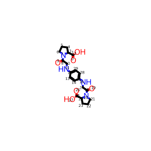 O=C(O)C1CCCN1C(=O)CNc1ccc(NCC(=O)N2CCCC2C(=O)O)cc1